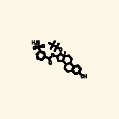 CC(C)(C)[Si](C)(C)O[C@H]1[C@H](OC(=O)c2cccc(S(N)(=O)=O)c2)CC2C3CCc4cc(O)ccc4C3CC[C@@]21C